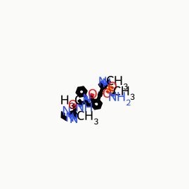 Cc1nn2cccnc2c1C(=O)NC(C)c1cc2cccc(C#Cc3cnn(C)c3S(=O)(=O)C(C)N)c2c(=O)n1-c1ccccc1